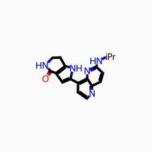 CC(C)Nc1ccc2nccc(-c3cc4c([nH]3)CCNC4=O)c2n1